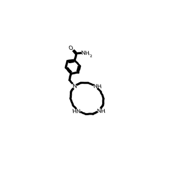 NC(=O)c1ccc(CN2CCCNCCNCCCNCC2)cc1